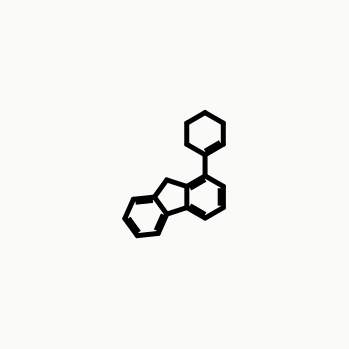 C1=C(c2cccc3c2Cc2ccccc2-3)CCCC1